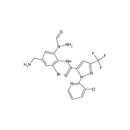 NCc1cc(Br)c(NC(=O)c2cc(C(F)(F)F)nn2-c2ncccc2Cl)c(N(N)C=O)c1